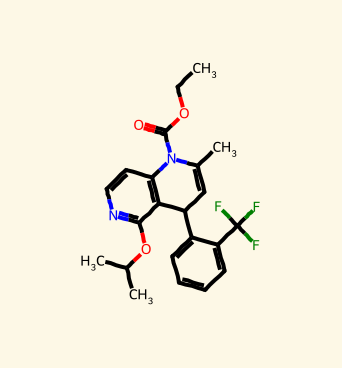 CCOC(=O)N1C(C)=CC(c2ccccc2C(F)(F)F)c2c1ccnc2OC(C)C